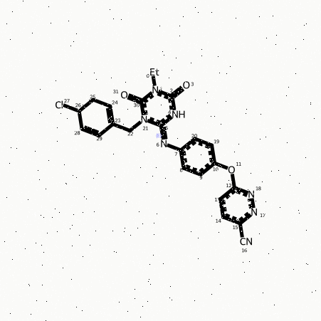 CCn1c(=O)[nH]/c(=N\c2ccc(Oc3ccc(C#N)nn3)cc2)n(CC2=CCC(Cl)C=C2)c1=O